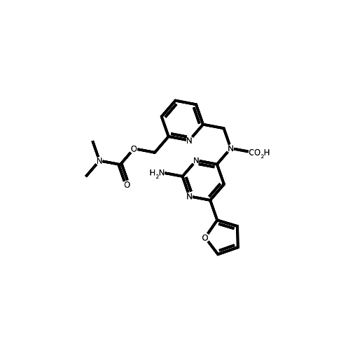 CN(C)C(=O)OCc1cccc(CN(C(=O)O)c2cc(-c3ccco3)nc(N)n2)n1